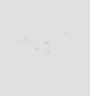 CC1(C(N)=O)C=CC=CC1C(=O)Nc1ncc([N+](=O)[O-])s1